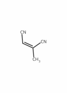 C/C(C#N)=C/C#N